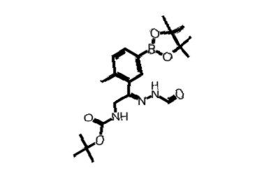 Cc1ccc(B2OC(C)(C)C(C)(C)O2)cc1/C(CNC(=O)OC(C)(C)C)=N\NC=O